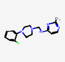 Cc1nccc(NCN2CCN(c3ccccc3Cl)CC2)n1